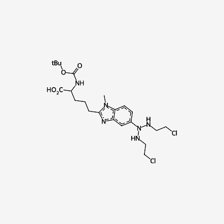 Cn1c(CCCC(NC(=O)OC(C)(C)C)C(=O)O)nc2cc(N(NCCCl)NCCCl)ccc21